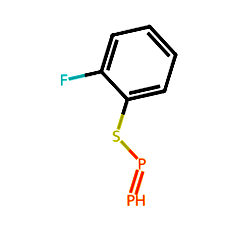 Fc1ccccc1SP=P